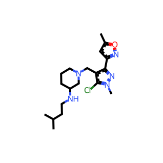 Cc1cc(-c2nn(C)c(Cl)c2CN2CCCC(NCCC(C)C)C2)no1